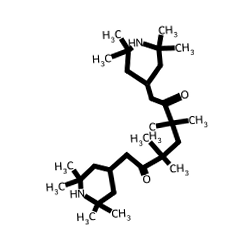 CC1(C)CC(CC(=O)C(C)(C)CC(C)(C)C(=O)CC2CC(C)(C)NC(C)(C)C2)CC(C)(C)N1